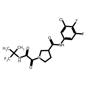 CC(C)(NC(=O)C(=O)N1CCC(C(=O)Nc2cc(F)c(F)c(Cl)c2)C1)C(F)(F)F